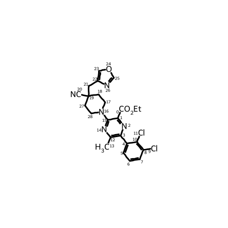 CCOC(=O)c1nc(-c2cccc(Cl)c2Cl)c(C)nc1N1CCC(C#N)(Cc2cocn2)CC1